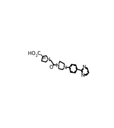 O=C(O)[C@@H]1CCN(CC(=O)N2CCN(c3ccc(-c4ncccn4)cc3)CC2)C1